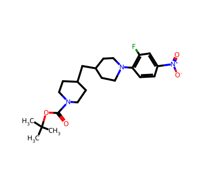 CC(C)(C)OC(=O)N1CCC(CC2CCN(c3ccc([N+](=O)[O-])cc3F)CC2)CC1